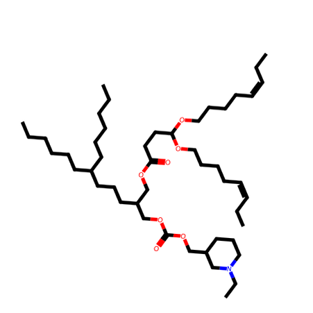 CC[CH]CCCC(CCCCCC)CCCC(COC(=O)CCC(OCCCC/C=C\CC)OCCCC/C=C\CC)COC(=O)OCC1CCCN(CC)C1